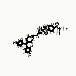 CCCNC(=O)c1ccc(S(=O)(=O)n2cc(CCN3CCC(=C(c4ccc(F)cc4)c4ccc(F)cc4)CC3)nn2)cc1